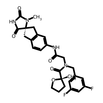 CN1C(=O)NC(=O)[C@@]12Cc1ccc(NC(=O)CN(Cc3cc(F)cc(F)c3)C(=O)[C@]3(C)CCCO3)cc1C2